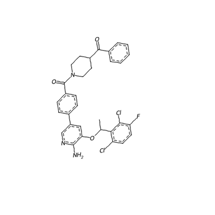 CC(Oc1cc(-c2ccc(C(=O)N3CCC(C(=O)c4ccccc4)CC3)cc2)cnc1N)c1c(Cl)ccc(F)c1Cl